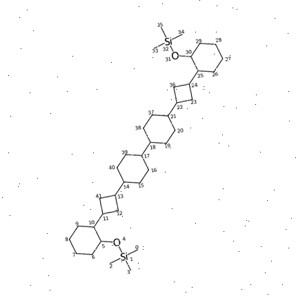 C[Si](C)(C)OC1CCCCC1C1CC(C2CCC(C3CCC(C4CC(C5CCCCC5O[Si](C)(C)C)C4)CC3)CC2)C1